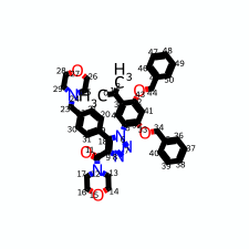 CC(C)c1cc(-n2nnc(C(=O)N3CCOCC3)c2-c2ccc(CN3CCOCC3)cc2)c(OCc2ccccc2)cc1OCc1ccccc1